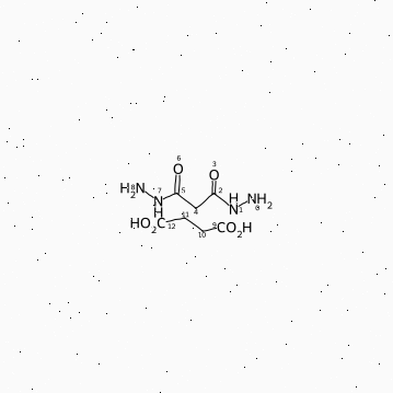 NNC(=O)CC(=O)NN.O=C(O)CCC(=O)O